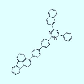 c1ccc(-c2cc(-c3ccc4ccccc4c3)nc(-c3ccc(-c4ccc(-c5ccc6c7c(cccc57)-c5ccccc5-6)cc4)cc3)n2)cc1